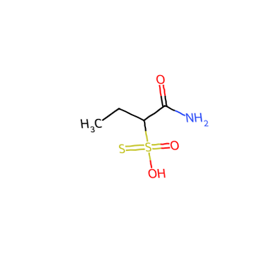 CCC(C(N)=O)S(=O)(O)=S